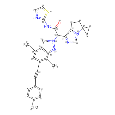 Cc1c(C#Cc2ccc(C=O)cc2)cc(C(F)(F)F)c2cn(C(C(=O)Nc3nccs3)c3ncn4c3CCC43CC3)nc12